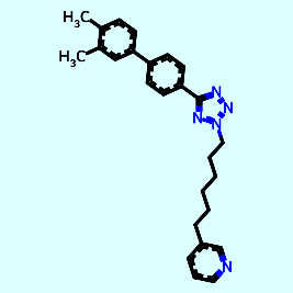 Cc1ccc(-c2ccc(-c3nnn(CCCCCCc4cccnc4)n3)cc2)cc1C